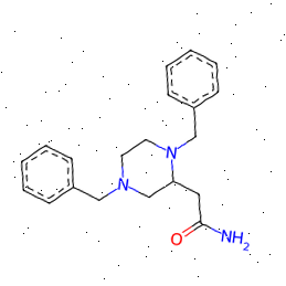 NC(=O)CC1CN(Cc2ccccc2)CCN1Cc1ccccc1